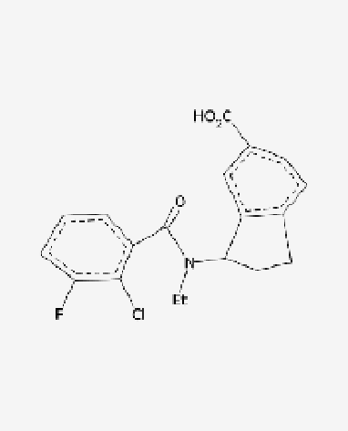 CCN(C(=O)c1cccc(F)c1Cl)C1CCc2ccc(C(=O)O)cc21